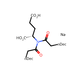 CCCCCCCCCCCC(=O)N(C(=O)CCCCCCCCCCC)[C@@H](CCC(=O)O)C(=O)O.[Na]